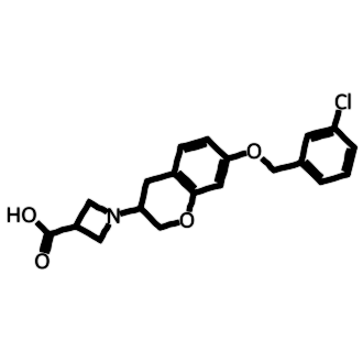 O=C(O)C1CN(C2COc3cc(OCc4cccc(Cl)c4)ccc3C2)C1